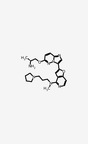 C[C@H](N)COc1ccc2ncc(-c3cc4c(N(C)CCCN5CCCC5)nccc4o3)n2n1